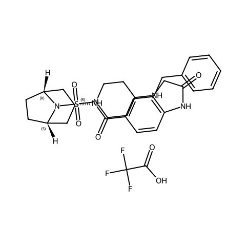 O=C(O)C(F)(F)F.O=C1Cc2cc(C(=O)N[C@H]3C[C@H]4CC[C@@H](C3)N4S(=O)(=O)N3CCC(NCc4ccccc4)CC3)ccc2N1